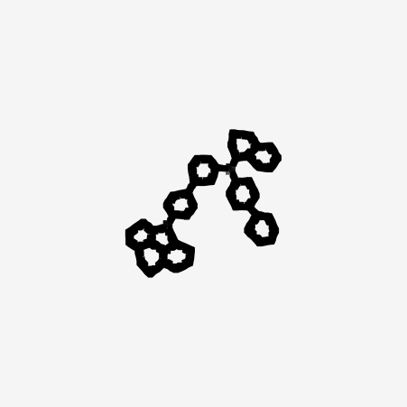 c1ccc(-c2ccc(N(c3cccc(-c4ccc(-n5c6cccc7ccc8cccc5c8c76)cc4)c3)c3cccc4ccccc34)cc2)cc1